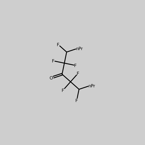 CCCC(F)C(F)(F)C(=O)C(F)(F)C(F)CCC